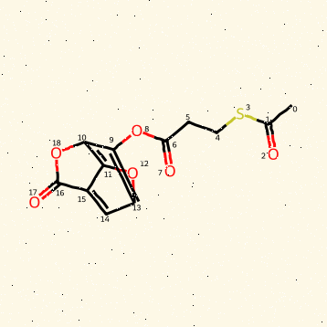 CC(=O)SCCC(=O)Oc1c2c3oc1cc3C(=O)O2